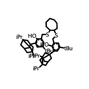 CC(C)C12CC3CC(c4cc(C(C)(C)C)cc(CSC5CCCCCCC5SCc5cc(C(C)(C)C)cc(C67CC8CC(C(C)C)(C6)CC(C(C)C)(C8)C7)c5O)c4O)(C1)CC(C(C)C)(C3)C2